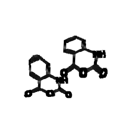 O=c1[nH]c2ccccc2c(=O)o1.O=c1[nH]c2ccccc2c(=O)o1